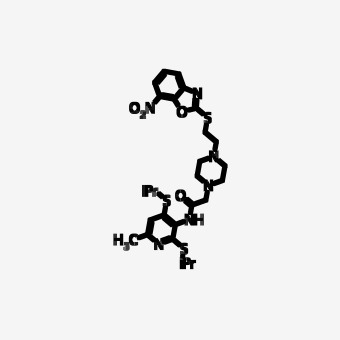 Cc1cc(SC(C)C)c(NC(=O)CN2CCN(CCSc3nc4cccc([N+](=O)[O-])c4o3)CC2)c(SC(C)C)n1